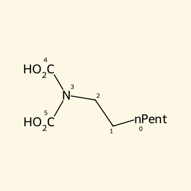 CCCCCCCN(C(=O)O)C(=O)O